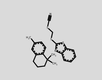 Cc1ccc2c(c1)CCCC2(C)C.N#CSCSc1nc2ccccc2s1